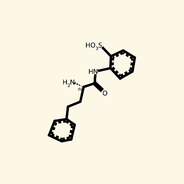 N[C@@H](CCc1ccccc1)C(=O)Nc1ccccc1S(=O)(=O)O